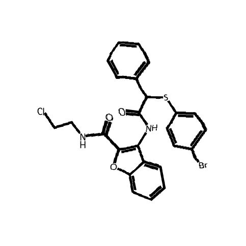 O=C(NCCCl)c1oc2ccccc2c1NC(=O)C(Sc1ccc(Br)cc1)c1ccccc1